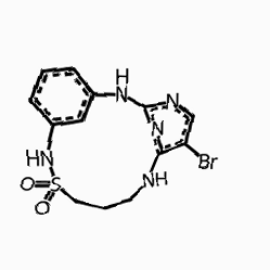 O=S1(=O)CCCNc2nc(ncc2Br)Nc2cccc(c2)N1